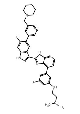 CN(C)CCNc1cc(F)cc(-c2ccnc3[nH]c(-c4n[nH]c5cc(F)c(-c6cncc(CN7CCCCC7)c6)cc45)nc23)c1